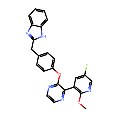 COc1ncc(F)cc1-c1nccnc1Oc1ccc([C]c2nc3ccccc3[nH]2)cc1